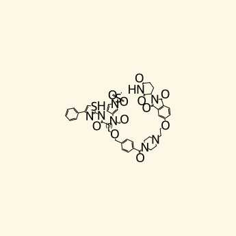 CS(=O)(=O)n1ccc(N(C=O)[C@@H](COCc2ccc(C(=O)N3CCN(CCOc4ccc5c(c4)C(=O)N(C4CCC(=O)NC4=O)C5=O)CC3)cc2)C(=O)Nc2nc(-c3ccccc3)cs2)c1